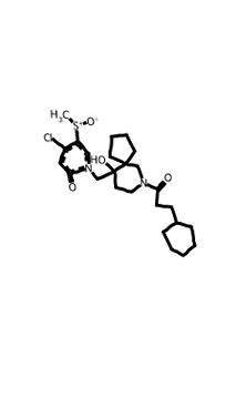 C[S+]([O-])c1cn(CC2(O)CCN(C(=O)CCC3CCCCC3)CC23CCCC3)c(=O)cc1Cl